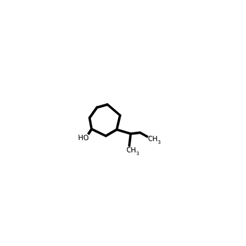 CCC(C)C1CCCCC(O)C1